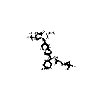 COC[C@H](c1cnn2cc([C@@H](NC(=O)OC[C@H]3CC3(F)F)C3CCC(F)(F)CC3)nc2c1)N1C[C@@H](C(F)(F)F)NC1=O